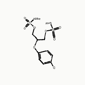 CNS(=O)(=O)OCC(COS(=O)(=O)NC)Oc1ccc(Cl)cc1